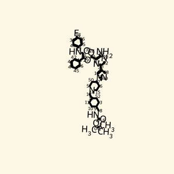 CC(C)(C)OC(=O)NCC1CCC(CN2CCC(n3cc(-c4cnc(N)c(C(=O)O[C@@H](C(=O)Nc5ccc(F)cc5)c5ccccc5)n4)cn3)CC2)CC1